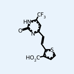 O=C(O)c1ccsc1C=Cc1cc(C(F)(F)F)[nH]c(=O)n1